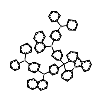 c1ccc(N(c2ccccc2)c2ccc(N(c3ccc(C4(c5ccc(N(c6ccc(N(c7ccccc7)c7ccccc7)cc6)c6cccc7ccccc67)cc5)c5ccccc5-n5c6ccccc6c6cccc4c65)cc3)c3cccc4ccccc34)cc2)cc1